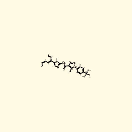 C=N/C(=C\C=C/C)c1nnc(NC(=O)c2cnn(-c3ccc(C(F)(F)F)cn3)c2C)[nH]1